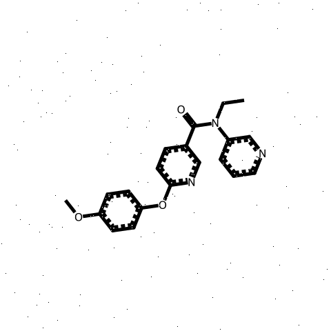 CCN(C(=O)c1ccc(Oc2ccc(OC)cc2)nc1)c1cccnc1